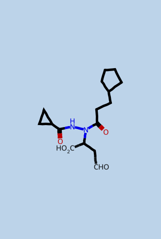 O=CCC(C(=O)O)N(NC(=O)C1CC1)C(=O)CCC1CCCC1